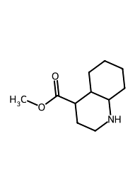 COC(=O)C1CCNC2CCCCC21